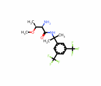 CO[C@@H](C)[C@@H](N)C(=O)NC(C)(C)c1cc(C(F)(F)F)cc(C(F)(F)F)c1